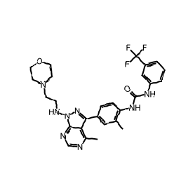 Cc1cc(-c2nn(NCCN3CCOCC3)c3ncnc(C)c23)ccc1NC(=O)Nc1cccc(C(F)(F)F)c1